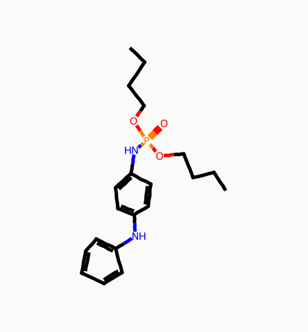 CCCCOP(=O)(Nc1ccc(Nc2ccccc2)cc1)OCCCC